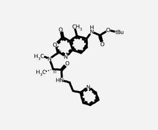 Cc1c(NC(=O)OC(C)(C)C)ccc2nc(N(C)[C@@H](C)C(=O)NCCc3ccccn3)oc(=O)c12